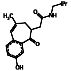 CC1=Cc2ccc(O)cc2C(=O)C(CC(=O)NCC(C)C)C1